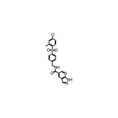 Cc1cc(Cl)ccc1S(=O)(=O)c1ccc(CNC(=O)c2cnc3[nH]ncc3c2)cc1